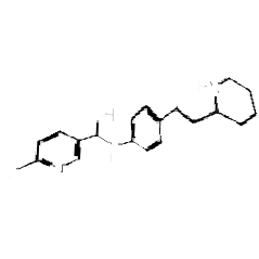 OC(Nc1ccc(CCC2CCCCN2)cc1)c1ccc(Cl)nc1